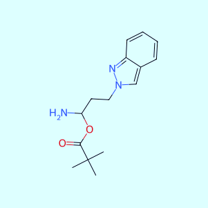 CC(C)(C)C(=O)OC(N)CCn1cc2ccccc2n1